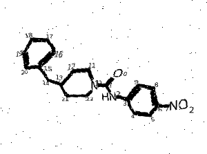 O=C(Nc1ccc([N+](=O)[O-])cc1)N1CCC(Cc2ccccc2)CC1